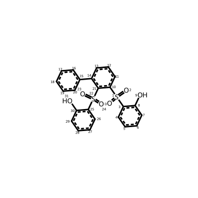 O=S(=O)(c1ccccc1O)c1cccc(-c2ccccc2)c1S(=O)(=O)c1ccccc1O